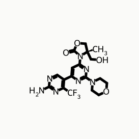 C[C@]1(CO)COC(=O)N1c1cc(-c2cnc(N)nc2C(F)(F)F)nc(N2CCOCC2)n1